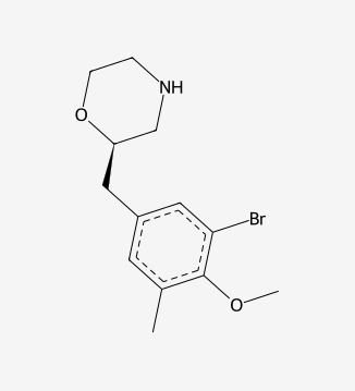 COc1c(C)cc(C[C@@H]2CNCCO2)cc1Br